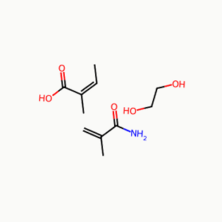 C=C(C)C(N)=O.CC=C(C)C(=O)O.OCCO